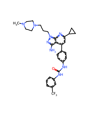 CN1CCN(CCCn2nc(N)c3c(-c4ccc(NC(=O)Nc5cccc(C(F)(F)F)c5)cc4)cc(C4CC4)nc32)CC1